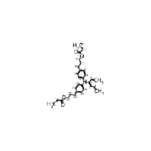 C=C/C=C(\C=C)N(c1ccc(CCCOC(=O)C=C)cc1)c1ccc(CCCOC(=O)C=C)cc1